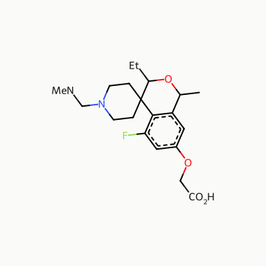 CCC1OC(C)c2cc(OCC(=O)O)cc(F)c2C12CCN(CNC)CC2